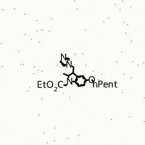 CCCCCOc1ccc2c(c1)C(Cn1ccnc1)C(C)N2CC(=O)OCC